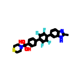 Cc1nc2ccc(-c3c(F)c(F)c(-c4ccc(C(O)(O)N5CCSCC5)cc4)c(F)c3F)cc2[nH]1